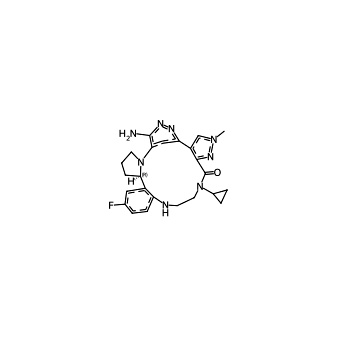 Cn1cc2c(n1)C(=O)N(C1CC1)CCNc1ccc(F)cc1[C@H]1CCCN1c1cc-2nnc1N